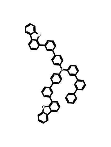 c1ccc(-c2cccc(-c3cccc(N(c4ccc(-c5cccc(-c6cccc7c6oc6ccccc67)c5)cc4)c4ccc(-c5cccc(-c6cccc7c6oc6ccccc67)c5)cc4)c3)c2)cc1